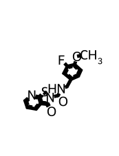 COc1ccc(CNC(=O)n2sc3ncccc3c2=O)cc1F